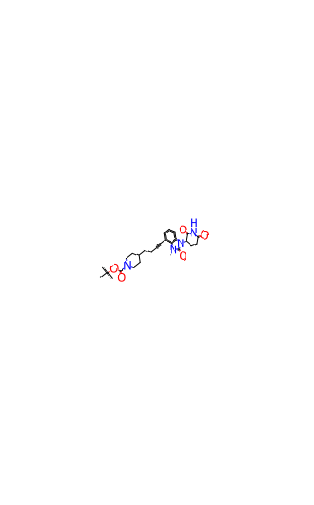 Cn1c(=O)n(C2CCC(=O)NC2=O)c2cccc(C#CCCC3CCN(C(=O)OC(C)(C)C)CC3)c21